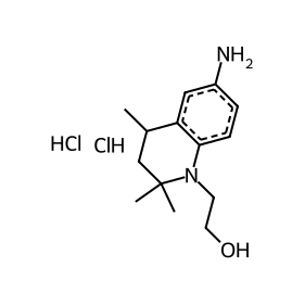 CC1CC(C)(C)N(CCO)c2ccc(N)cc21.Cl.Cl